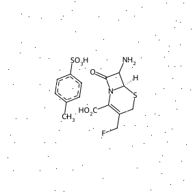 Cc1ccc(S(=O)(=O)O)cc1.NC1C(=O)N2C(C(=O)O)=C(CF)CS[C@H]12